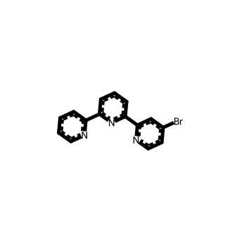 Brc1ccnc(-c2cccc(-c3ccccn3)n2)c1